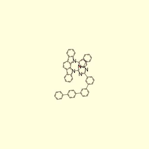 c1ccc(-c2ccc(-c3cccc(-c4cccc(-c5nc(-c6ccccc6)nc(-n6c7ccccc7c7ccc8c9ccccc9n(-c9ccccc9)c8c76)n5)c4)c3)cc2)cc1